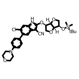 CC(C)(C)[Si](C)(C)O[C@@H]1CO[C@H]2[C@@H]1OC[C@H]2Oc1[nH]c2cc(Cl)c(-c3ccc(N4CCOCC4)cc3)cc2c1C#N